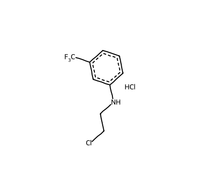 Cl.FC(F)(F)c1cccc(NCCCl)c1